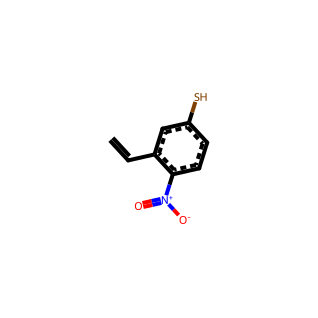 C=Cc1cc(S)ccc1[N+](=O)[O-]